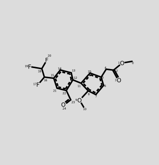 COC(=O)Cc1ccc(OC)c(-c2ccc(C(F)C(F)F)cc2C=O)c1